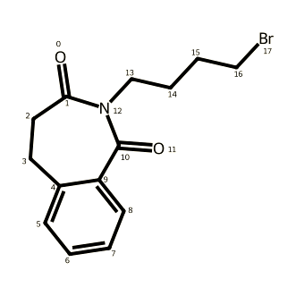 O=C1CCc2ccccc2C(=O)N1CCCCBr